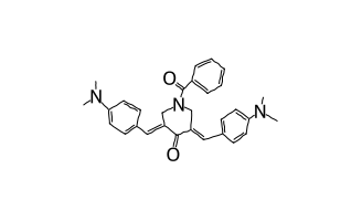 CN(C)c1ccc(C=C2CN(C(=O)c3ccccc3)CC(=Cc3ccc(N(C)C)cc3)C2=O)cc1